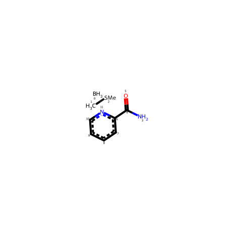 B.CSC.NC(=O)c1ccccn1